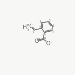 C=Cc1ccccc1C([O])=O